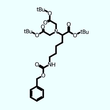 CC(C)(C)OC(=O)CN(CC(=O)OC(C)(C)C)C(CCCCNC(=O)OCc1ccccc1)C(=O)OC(C)(C)C